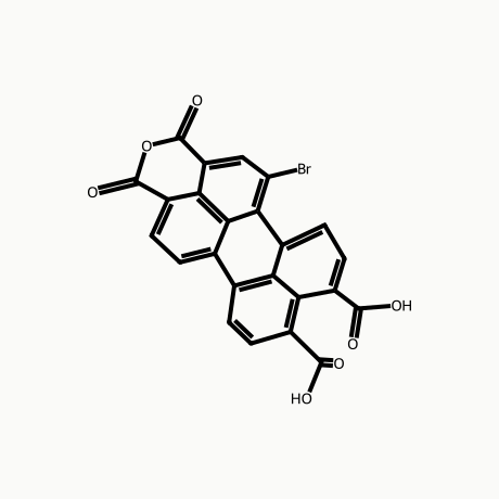 O=C(O)c1ccc2c3ccc4c5c(cc(Br)c(c6ccc(C(=O)O)c1c26)c53)C(=O)OC4=O